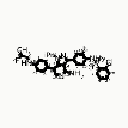 CC(F)CNc1ccc(-c2cnc(N)c3c(-c4ccc(NS(=O)(=O)c5ccccc5Cl)c(F)c4)nn(C(C)C)c23)cc1